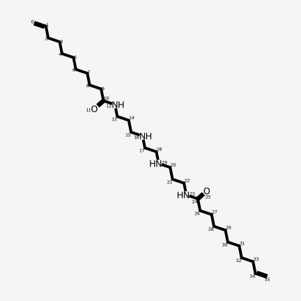 C=CCCCCCCCCC(=O)NCCCNCCNCCCNC(=O)CCCCCCCCC=C